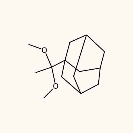 COC(C)(OC)C12CC3CC(CC(C3)C1)C2